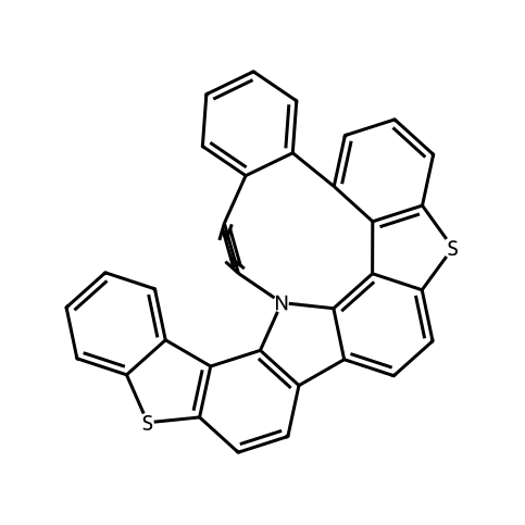 c1ccc2c(c1)sc1ccc3c4ccc5sc6cccc7c8ccccc8c8ccccc8n(c3c12)c4c5c67